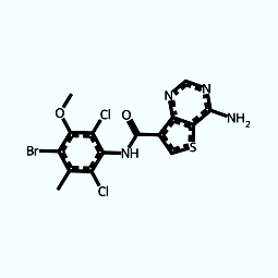 COc1c(Cl)c(NC(=O)c2csc3c(N)ncnc23)c(Cl)c(C)c1Br